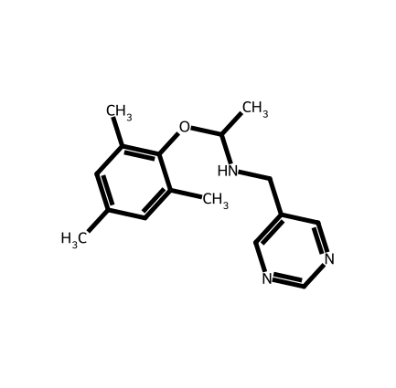 Cc1cc(C)c(OC(C)NCc2cncnc2)c(C)c1